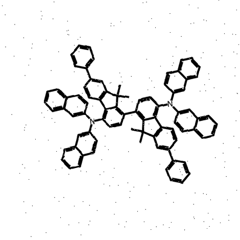 CC1(C)c2cc(-c3ccccc3)ccc2-c2c(N(c3ccc4ccccc4c3)c3ccc4ccccc4c3)ccc(-c3ccc(N(c4ccc5ccccc5c4)c4ccc5ccccc5c4)c4c3C(C)(C)c3cc(-c5ccccc5)ccc3-4)c21